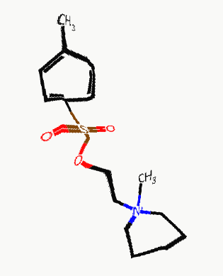 Cc1ccc(S(=O)(=O)OCC[N+]2(C)CCCCC2)cc1